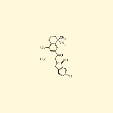 Br.CCc1ccc2c(n1)C(=N)N(CC(=O)c1cc(C(C)(C)C)c3c(c1)C(C)(C)CCO3)C2